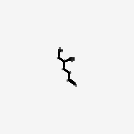 OC[C@@H](O)CCC=S